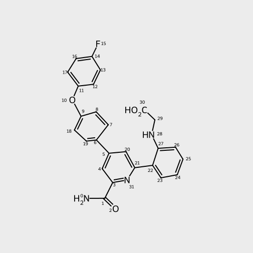 NC(=O)c1cc(-c2ccc(Oc3ccc(F)cc3)cc2)cc(-c2ccccc2NCC(=O)O)n1